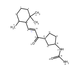 CC1CCCC(C)(C)C1/C=C/C(=O)N1CCC(NC(N)=O)C1